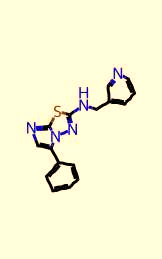 c1ccc(-c2cnc3sc(NCc4cccnc4)nn23)cc1